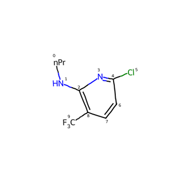 CCCNc1nc(Cl)ccc1C(F)(F)F